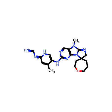 Cc1c/c(=N/C=N)[nH]cc1Nc1ncc2c(n1)N1C(=NCC13CCCOCC3)N2C